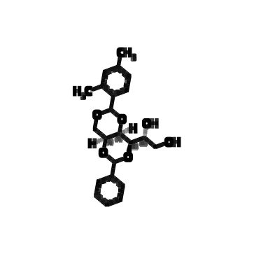 Cc1ccc(C2OC[C@@H]3OC(c4ccccc4)O[C@H]([C@H](O)CO)[C@@H]3O2)c(C)c1